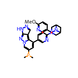 COc1ccc(CN2C3CC2CN(c2ccc(-c4cc(P(C)C)cn5nc6[nH]ncc6c45)cn2)C3)cn1